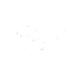 Cc1cccc([C](c2cccc(C)c2)=[Zr+2]([C]2=CC=CC2)[CH]2c3cc(C)c(C(C)(C)C)cc3-c3cc(C(C)(C)C)c(C)cc32)c1.[Cl-].[Cl-]